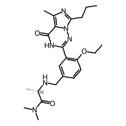 CCCc1nc(C)c2c(=O)[nH]c(-c3cc(CN[C@@H](C)C(=O)N(C)C)ccc3OCC)nn12